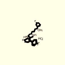 Cl.OC(CCCC1Cc2[nH]c3c(F)ccc(-c4ccc(F)cc4)c3c2CN1)c1cccc(F)c1